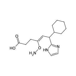 NOC(=CC(c1ncc[nH]1)C1CCCCC1)CCC(=O)O